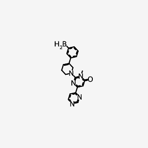 Bc1cccc(C2=CCCN(c3nc(-c4ccncn4)cc(=O)n3C)C2)c1